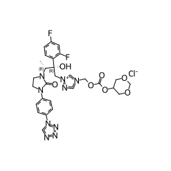 C[C@@H](N1CCN(c2ccc(-n3cnnn3)cc2)C1=O)[C@](O)(C[n+]1cn(COC(=O)OC2COCOC2)cn1)c1ccc(F)cc1F.[Cl-]